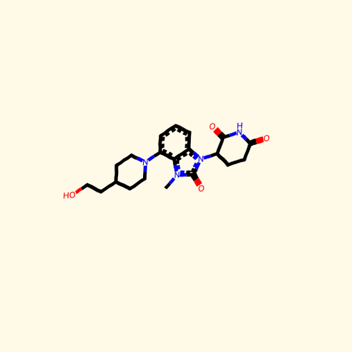 Cn1c(=O)n(C2CCC(=O)NC2=O)c2cccc(N3CCC(CCO)CC3)c21